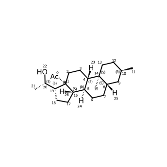 CC(=O)[C@]12CC[C@H]3[C@@H](CC[C@H]4C[C@H](C)CC[C@@]43C)[C@@H]1CC[C@@H]2[C@H](C)O